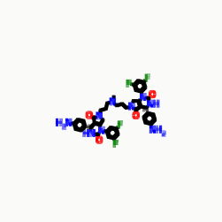 CN(CCCN1CC2=C(C1=O)[C@@H](c1ccc(N)cc1)NC(=O)N2c1cc(F)cc(F)c1)CCCN1CC2=C(C1=O)[C@@H](c1ccc(N)cc1)NC(=O)N2c1cc(F)cc(F)c1